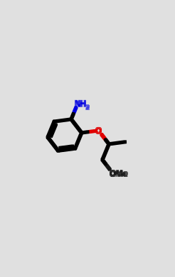 COCC(C)OC1C=CC=CC1N